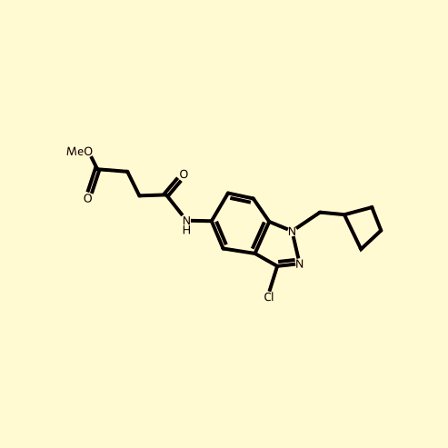 COC(=O)CCC(=O)Nc1ccc2c(c1)c(Cl)nn2CC1CCC1